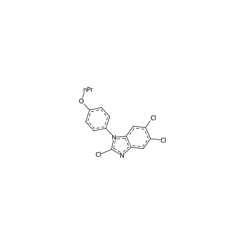 CCCOc1ccc(-n2c(Cl)nc3cc(Cl)c(Cl)cc32)cc1